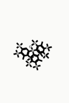 Cc1c([Si](C)(C)C)c([Si](C)(C)C)cc([Si](Cl)(c2cc([Si](C)(C)C)c([Si](C)(C)C)c(C)c2[Si](C)(C)C)c2cc([Si](C)(C)C)c([Si](C)(C)C)c(C)c2[Si](C)(C)C)c1[Si](C)(C)C